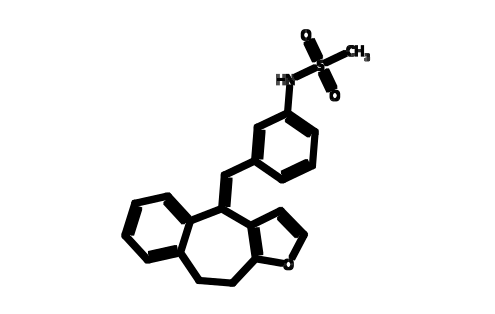 CS(=O)(=O)Nc1cccc(C=C2c3ccccc3CCc3occc32)c1